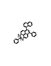 c1ccc(-c2nc3ccc4c(-c5ccccc5)cc(-c5cccc6ccccc56)c5ccc(n2)c3c45)cc1